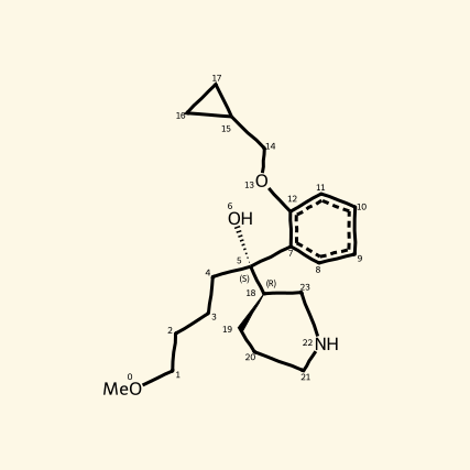 COCCCC[C@@](O)(c1ccccc1OCC1CC1)[C@@H]1CCCNC1